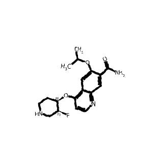 CC(C)Oc1cc2c(O[C@@H]3CCNC[C@@H]3F)ccnc2cc1C(N)=O